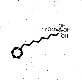 CCCCCCCCP(O)(O)(O)CCCCCCCCc1ccccc1